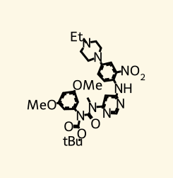 CCN1CCN(c2ccc(Nc3cc(N(C)C(=O)N(C(=O)OC(C)(C)C)c4cc(OC)cc(OC)c4)ncn3)c([N+](=O)[O-])c2)CC1